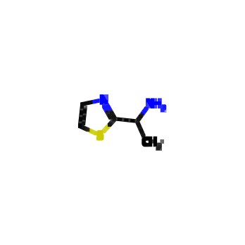 [CH2]C(N)c1nccs1